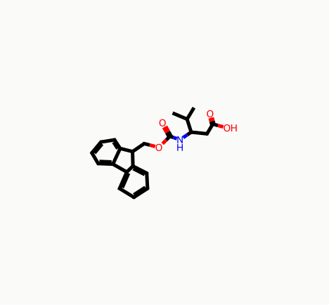 CC(C)C(CC(=O)O)NC(=O)OCC1c2ccccc2-c2ccccc21